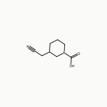 N#CCC1CCCN(C(=O)O)C1